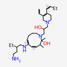 C=CC1=C(/C=C\CC)CCN(CC(O)CN2CCC/C=C(NCC(CC)CCN)\C=C/C(C)C2(C)O)C1